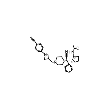 CC(=O)N[C@H]1CCC[C@@H]1C(C#N)(c1ccccc1)C1CCN(CC2CN(c3ccc(C#N)cc3)C2)CC1